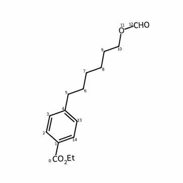 CCOC(=O)c1ccc(CCCCCCOC=O)cc1